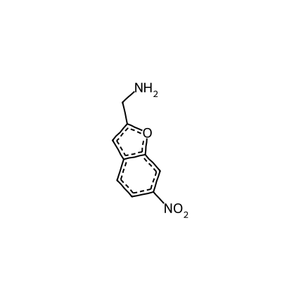 NCc1cc2ccc([N+](=O)[O-])cc2o1